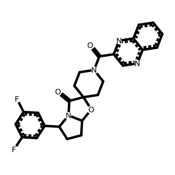 O=C(c1cnc2ccccc2n1)N1CCC2(CC1)OC1CCC(c3cc(F)cc(F)c3)N1C2=O